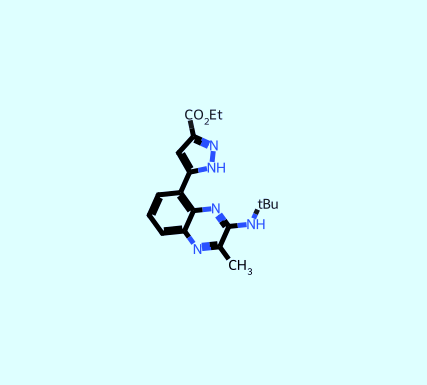 CCOC(=O)c1cc(-c2cccc3nc(C)c(NC(C)(C)C)nc23)[nH]n1